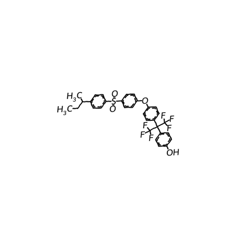 CCC(C)c1ccc(S(=O)(=O)c2ccc(Oc3ccc(C(c4ccc(O)cc4)(C(F)(F)F)C(F)(F)F)cc3)cc2)cc1